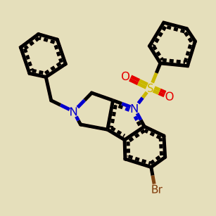 O=S(=O)(c1ccccc1)n1c2c(c3cc(Br)ccc31)CN(Cc1ccccc1)C2